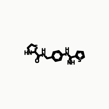 N=C(Nc1ccc(CNC(=O)C2NCCS2)cc1)c1cccs1